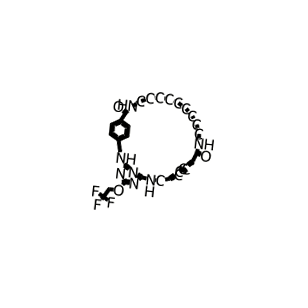 O=C1NCCCCCCCCCNC(=O)c2ccc(cc2)Nc2nc(nc(OCC(F)(F)F)n2)NCc2ccc1cc2